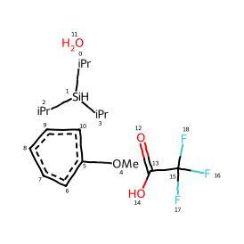 CC(C)[SiH](C(C)C)C(C)C.COc1ccccc1.O.O=C(O)C(F)(F)F